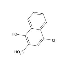 O=S(=O)(O)c1cc(Cl)c2ccccc2c1O